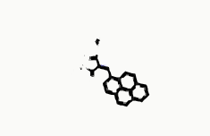 CN1N=C(OC=O)/C(=C/c2ccc3ccc4cccc5ccc2c3c45)C1=O